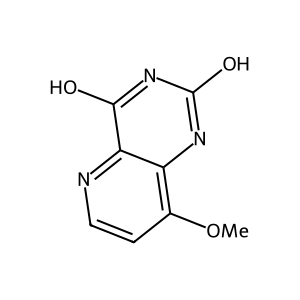 COc1ccnc2c(O)nc(O)nc12